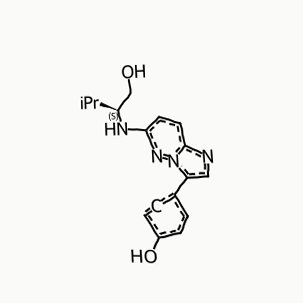 CC(C)[C@@H](CO)Nc1ccc2ncc(-c3ccc(O)cc3)n2n1